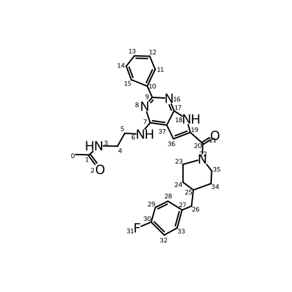 CC(=O)NCCNc1nc(-c2ccccc2)nc2[nH]c(C(=O)N3CCC(Cc4ccc(F)cc4)CC3)cc12